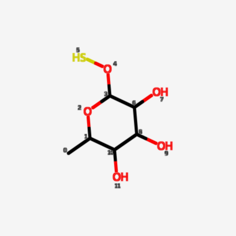 CC1OC(OS)C(O)C(O)C1O